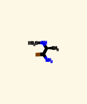 C[C@H](NC(=O)O)C(N)=S